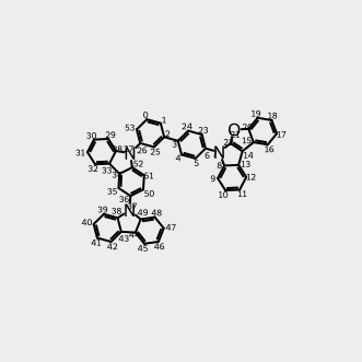 c1cc(-c2ccc(-n3c4ccccc4c4c5ccccc5oc43)cc2)cc(-n2c3ccccc3c3cc(-n4c5ccccc5c5ccccc54)ccc32)c1